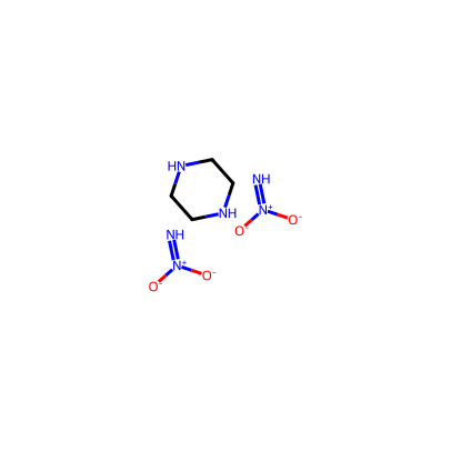 C1CNCCN1.N=[N+]([O-])[O-].N=[N+]([O-])[O-]